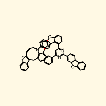 C1=CC2c3ccccc3OC2C=C1c1nc(-c2ccccc2)cc(-c2cccc3oc4ccc(-c5cccc6c5N(c5ccccc5)C/C=C\c5sc7ccccc7c5C6)cc4c23)n1